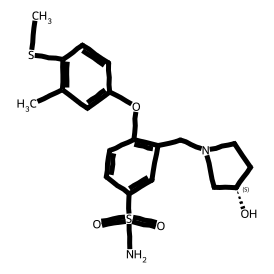 CSc1ccc(Oc2ccc(S(N)(=O)=O)cc2CN2CC[C@H](O)C2)cc1C